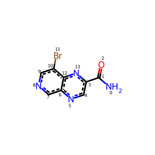 NC(=O)c1cnc2cncc(Br)c2n1